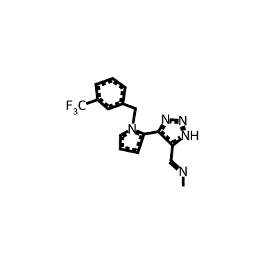 C/N=C/c1[nH]nnc1-c1cccn1Cc1cccc(C(F)(F)F)c1